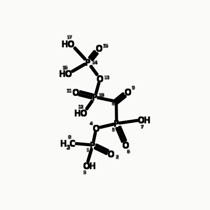 CP(=O)(O)OP(=O)(O)C(=O)P(=O)(O)OP(=O)(O)O